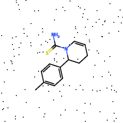 Cc1ccc(C2CCC=CN2C(N)=S)cc1